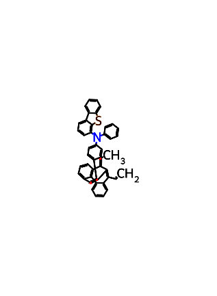 C=CC1=C2/C(=C\C)c3cccc(c3-c3ccccc31)-c1ccc(-c3ccc(N(c4ccccc4)c4cccc5c4sc4ccccc45)cc3)cc12